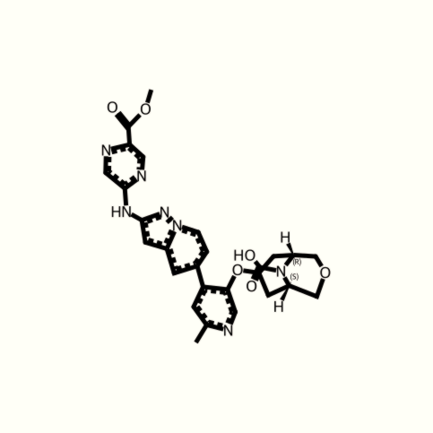 COC(=O)c1cnc(Nc2cc3cc(-c4cc(C)ncc4OC4C[C@H]5COC[C@@H](C4)N5C(=O)O)ccn3n2)cn1